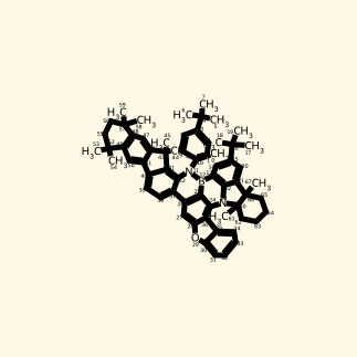 Cc1cc(C(C)(C)C)ccc1N1B2c3cc(C(C)(C)C)cc4c3N(c3c2c(cc2oc5ccccc5c32)-c2ccc3c(c21)C(C)(C)c1cc2c(cc1-3)C(C)(C)CCC2(C)C)C1(C)CCCCC41C